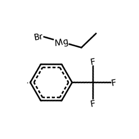 C[CH2][Mg][Br].FC(F)(F)c1cc[c]cc1